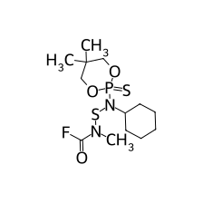 CN(SN(C1CCCCC1)P1(=S)OCC(C)(C)CO1)C(=O)F